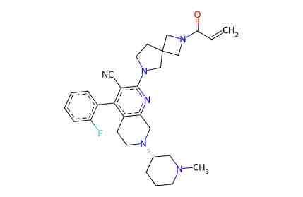 C=CC(=O)N1CC2(CCN(c3nc4c(c(-c5ccccc5F)c3C#N)CCN([C@H]3CCCN(C)C3)C4)C2)C1